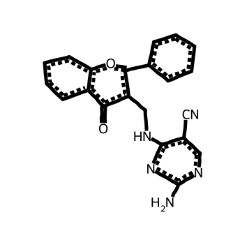 N#Cc1cnc(N)nc1NCc1c(-c2ccccc2)oc2ccccc2c1=O